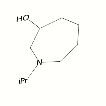 CC(C)N1CCCCC(O)C1